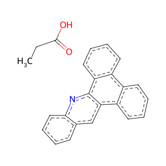 CCC(=O)O.c1ccc2nc3c4ccccc4c4ccccc4c3cc2c1